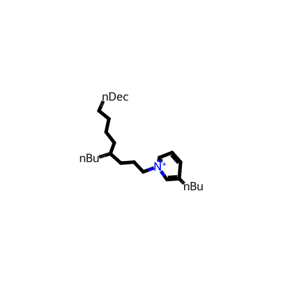 CCCCCCCCCCCCCCC(CCCC)CCC[n+]1cccc(CCCC)c1